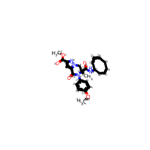 COC(=O)c1cc2n(n1)CC(C)(C(=O)NC1CCCCCCC1)N(c1ccc(OC)cc1)C2=O